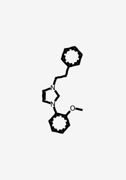 COc1ccccc1N1C=CN(CCc2ccccc2)C1